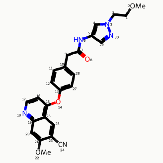 COCCn1cc(NC(=O)Cc2ccc(Oc3ccnc4cc(OC)c(C#N)cc34)cc2)cn1